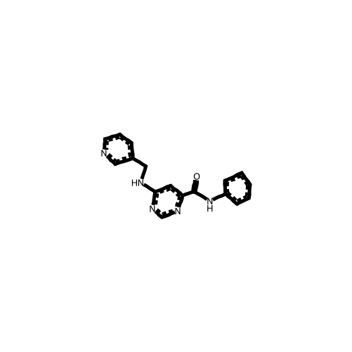 O=C(Nc1ccccc1)c1cc(NCc2cccnc2)ncn1